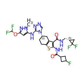 Cn1nc(OC(F)F)cc1Nc1nncn1[C@H]1CCc2sc(NC(=O)C3CC(F)C3)c(C(=O)NC[C@@H]3CC3(F)F)c2C1